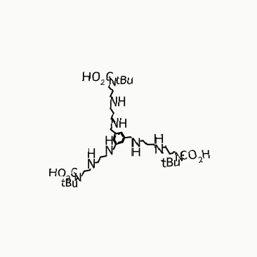 CC(C)(C)N(CCCNCCCNCc1cc(CNCCCNCCCN(C(=O)O)C(C)(C)C)cc(CNCCCNCCCN(C(=O)O)C(C)(C)C)c1)C(=O)O